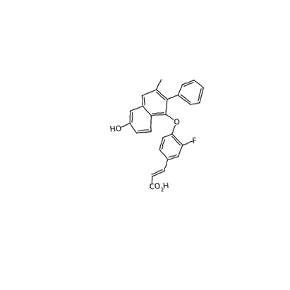 Cc1cc2cc(O)ccc2c(Oc2ccc(C=CC(=O)O)cc2F)c1-c1ccccc1